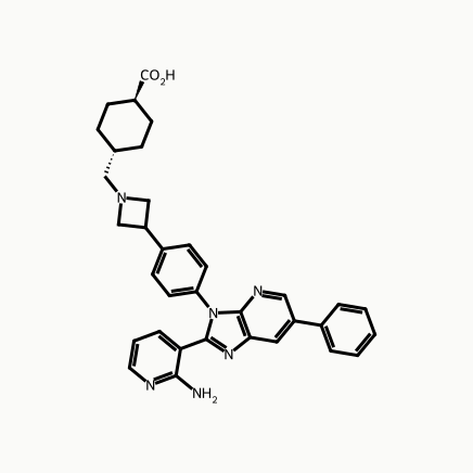 Nc1ncccc1-c1nc2cc(-c3ccccc3)cnc2n1-c1ccc(C2CN(C[C@H]3CC[C@H](C(=O)O)CC3)C2)cc1